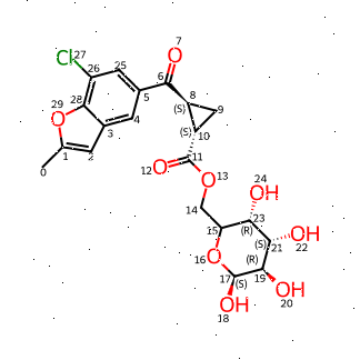 Cc1cc2cc(C(=O)[C@H]3C[C@@H]3C(=O)OCC3O[C@H](O)[C@H](O)[C@@H](O)[C@H]3O)cc(Cl)c2o1